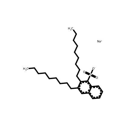 CCCCCCCCCc1cc2ccccc2c(S(=O)(=O)[O-])c1CCCCCCCCC.[Na+]